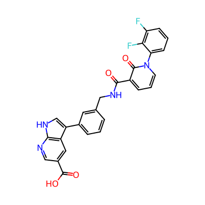 O=C(O)c1cnc2[nH]cc(-c3cccc(CNC(=O)c4cccn(-c5cccc(F)c5F)c4=O)c3)c2c1